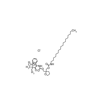 CCCCCCCCCCCCCCCCCCNC(=O)OCC1(COC(=O)NC(C(=O)C(C)(C)C)c2cccc[n+]2CC)CCCO1.[Cl-]